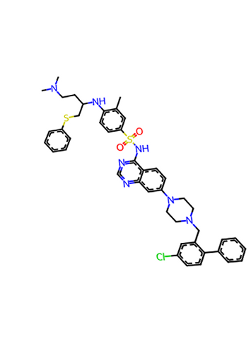 Cc1cc(S(=O)(=O)Nc2ncnc3cc(N4CCN(Cc5cc(Cl)ccc5-c5ccccc5)CC4)ccc23)ccc1NC(CCN(C)C)CSc1ccccc1